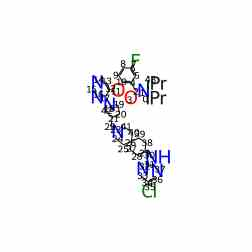 CC(C)N(C(=O)c1cc(F)ccc1Oc1cncnc1N1CC[C@@H](CN2CCC3(CCC(Nc4ncc(Cl)cn4)CC3)CC2)C1)C(C)C